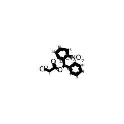 O=C(CCl)OC(c1ccccc1)c1ccccc1[N+](=O)[O-]